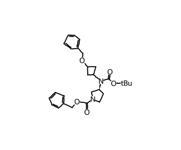 CC(C)(C)OC(=O)N(C1CC(OCc2ccccc2)C1)[C@H]1CCN(C(=O)OCc2ccccc2)C1